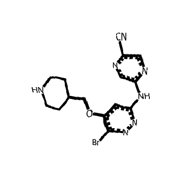 N#Cc1cnc(Nc2cc(OCC3CCNCC3)c(Br)nn2)cn1